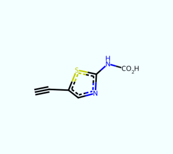 C#Cc1cnc(NC(=O)O)s1